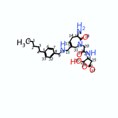 CCCCCc1ccc(CNCC2=CCC(N)C(=O)N(CC(=O)NC3CC(=O)OC3O)C2)cc1